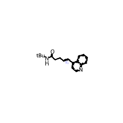 CC(C)(C)NC(=O)CC/C=C/c1ccnc2ccccc12